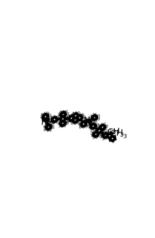 CC1(C)c2ccccc2-c2ccc(-c3c4ccccc4c(-c4ccc(-n5c(-c6ccccc6)nc6c(-c7ccc8ccc9cc(-c%10c%11ccccc%11c(-c%11ccc(-n%12c(-c%13ccccc%13)nc%13ccccc%13%12)cc%11)c%11ccccc%10%11)cc%10ccc7c8c9%10)cccc65)cc4)c4ccccc34)cc21